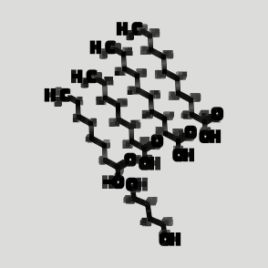 CCCCCCCC(=O)O.CCCCCCCC(=O)O.CCCCCCCCCC(=O)O.CCCCCCCCCC(=O)O.OCCCCO